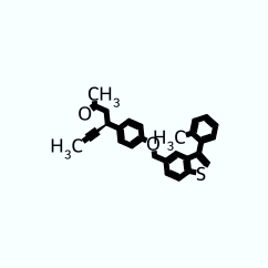 CC#C[C@@H](CC(C)=O)c1ccc(OCc2ccc3scc(-c4ccccc4C)c3c2)cc1